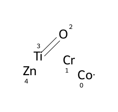 [Co].[Cr].[O]=[Ti].[Zn]